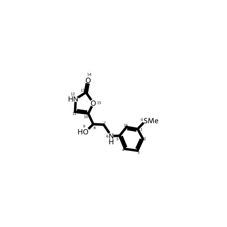 CSc1cccc(NCC(O)c2c[nH]c(=O)o2)c1